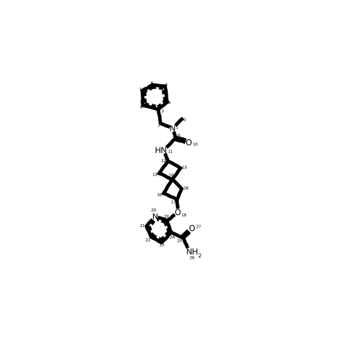 CN(Cc1ccccc1)C(=O)NC1CC2(C1)CC(Oc1ncccc1C(N)=O)C2